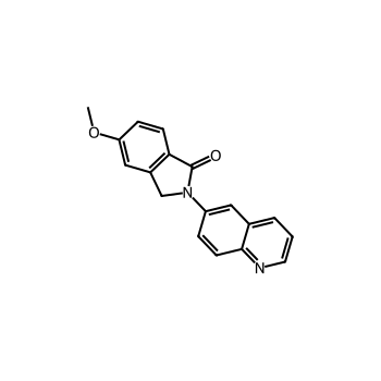 COc1ccc2c(c1)CN(c1ccc3ncccc3c1)C2=O